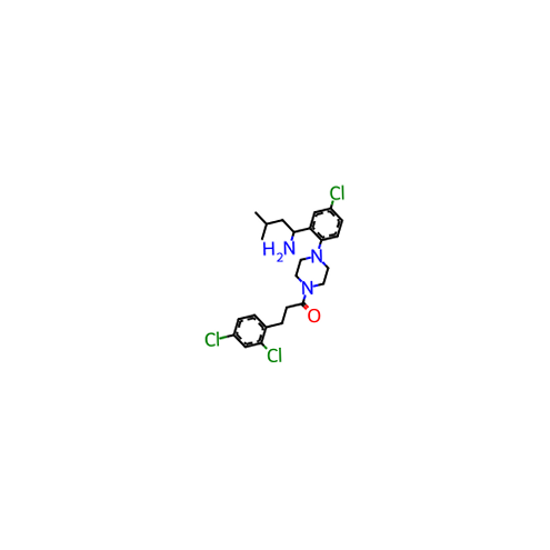 CC(C)CC(N)c1cc(Cl)ccc1N1CCN(C(=O)CCc2ccc(Cl)cc2Cl)CC1